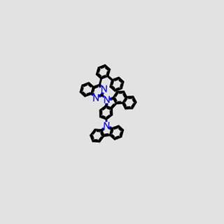 c1ccc(-c2ccccc2-c2nc(-n3c4ccc(-n5c6ccccc6c6ccccc65)cc4c4c5ccccc5ccc43)nc3ccccc23)cc1